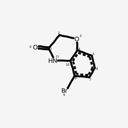 O=C1COc2cccc(Br)c2N1